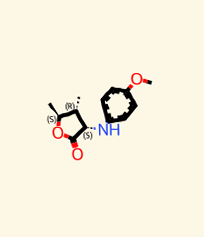 COc1ccc(N[C@@H]2C(=O)O[C@@H](C)[C@@H]2C)cc1